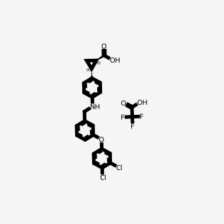 O=C(O)C(F)(F)F.O=C(O)[C@@H]1C[C@H]1c1ccc(NCc2cccc(Oc3ccc(Cl)c(Cl)c3)c2)cc1